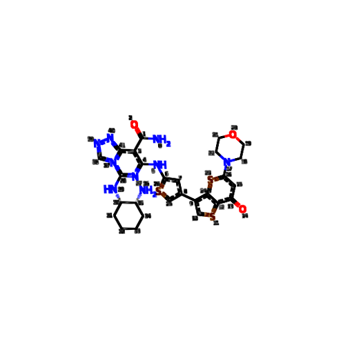 NC(=O)c1c(Nc2cc(-c3csc4c(=O)cc(N5CCOCC5)sc34)cs2)nc(N[C@H]2CCCC[C@H]2N)n2cnnc12